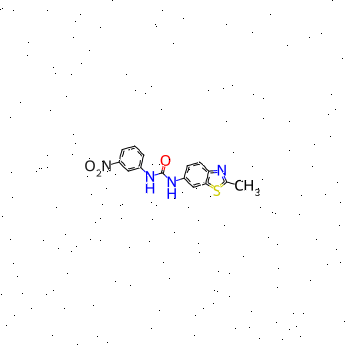 Cc1nc2ccc(NC(=O)Nc3cccc([N+](=O)[O-])c3)cc2s1